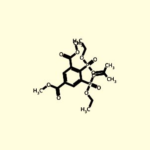 CCOP(=O)(OCC)c1cc(C(=O)OC)cc(C(=O)OC)c1P(=O)(OCC)OCC